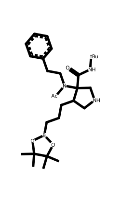 CC(=O)N(CCc1ccccc1)C1(C(=O)NC(C)(C)C)CNCC1CCCB1OC(C)(C)C(C)(C)O1